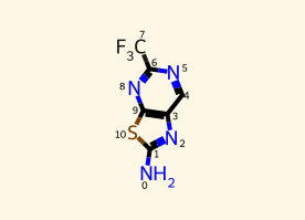 Nc1nc2cnc(C(F)(F)F)nc2s1